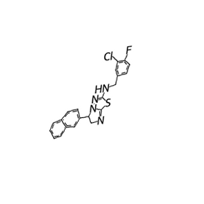 Fc1ccc(CNC2=NN3C(=NCC3c3ccc4ccccc4c3)S2)cc1Cl